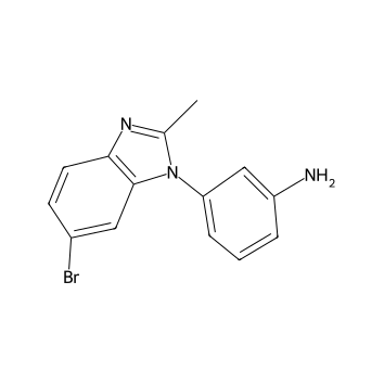 Cc1nc2ccc(Br)cc2n1-c1cccc(N)c1